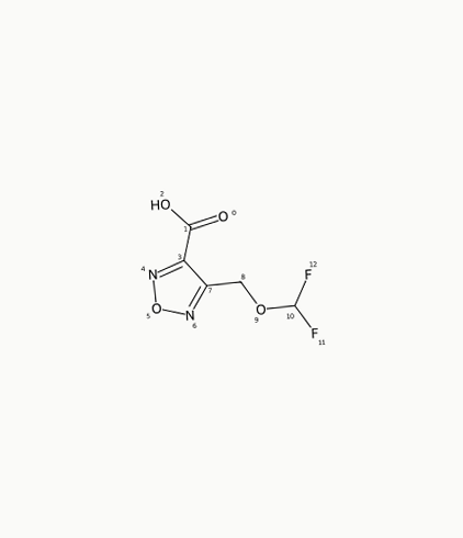 O=C(O)c1nonc1COC(F)F